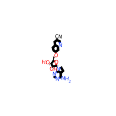 N#Cc1cnc2cc(OC[C@H]3O[C@@H](n4ccc5c(N)ncnc54)[C@H](O)[C@@H]3O)ccc2c1